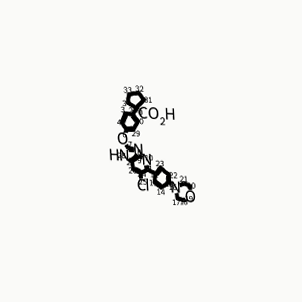 O=C(O)C1(c2ccc(Oc3nc4nc(-c5ccc(N6CCOCC6)cc5)c(Cl)cc4[nH]3)cc2)CCCC1